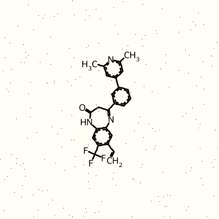 C=Cc1cc2c(cc1C(F)(F)F)NC(=O)CC(c1cccc(-c3cc(C)nc(C)c3)c1)=N2